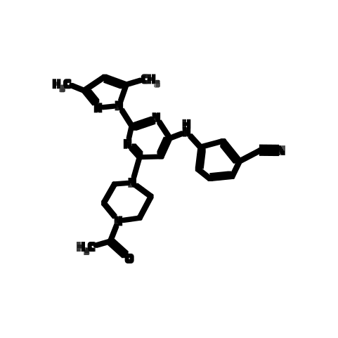 CC(=O)N1CCN(c2cc(Nc3cccc(C#N)c3)nc(-n3nc(C)cc3C)n2)CC1